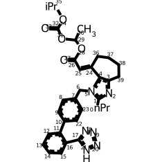 CCCc1nc2c(n1Cc1ccc(-c3ccccc3-c3nnn[nH]3)cc1)C(=CC(=O)OC(C)OC(=O)OC(C)C)CCCC2